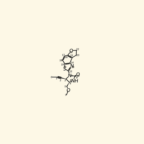 CC#C[C@@H]1[C@H](COC)NC(=O)N1c1nc2c3c(ccc2s1)OCC3